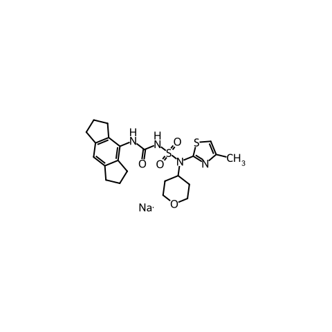 Cc1csc(N(C2CCOCC2)S(=O)(=O)NC(=O)Nc2c3c(cc4c2CCC4)CCC3)n1.[Na]